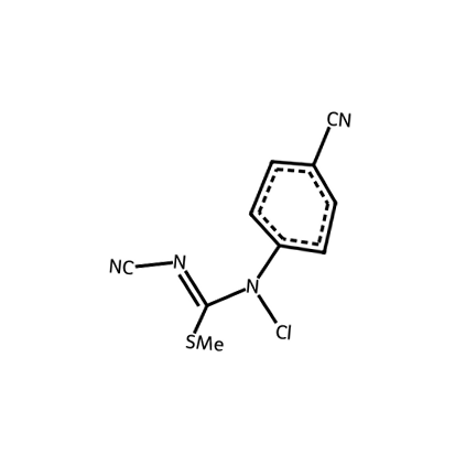 CSC(=NC#N)N(Cl)c1ccc(C#N)cc1